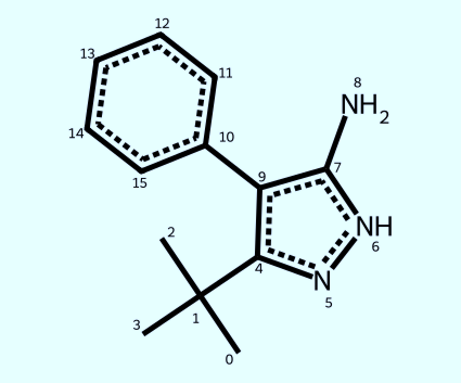 CC(C)(C)c1n[nH]c(N)c1-c1ccccc1